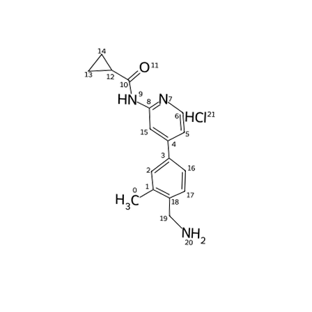 Cc1cc(-c2ccnc(NC(=O)C3CC3)c2)ccc1CN.Cl